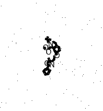 COC(=O)C1c2cc(OCCc3nc(-c4ccccc4)oc3C)ccc2CCN1CC(C)(C)C